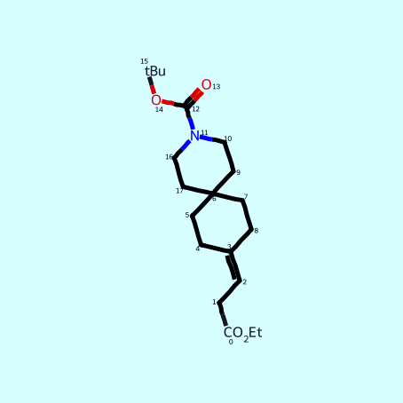 CCOC(=O)CC=C1CCC2(CC1)CCN(C(=O)OC(C)(C)C)CC2